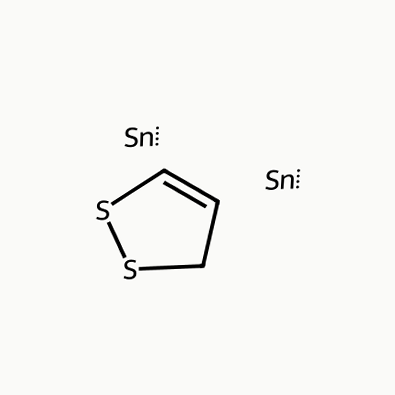 C1=CSSC1.[Sn].[Sn]